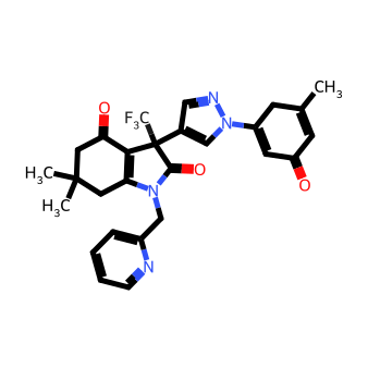 CC1=CC(=O)C=C(n2cc(C3(C(F)(F)F)C(=O)N(Cc4ccccn4)C4=C3C(=O)CC(C)(C)C4)cn2)C1